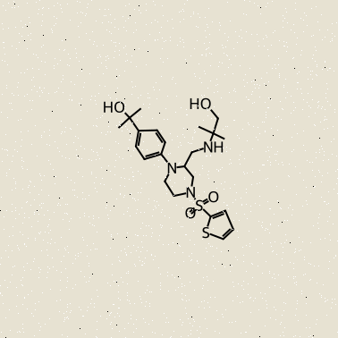 CC(C)(CO)NCC1CN(S(=O)(=O)c2cccs2)CCN1c1ccc(C(C)(C)O)cc1